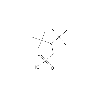 CC(C)(C)C(CS(=O)(=O)O)C(C)(C)C